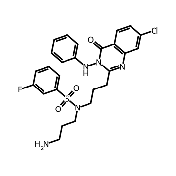 NCCCN(CCCc1nc2cc(Cl)ccc2c(=O)n1Nc1ccccc1)S(=O)(=O)c1cccc(F)c1